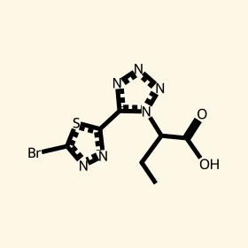 CCC(C(=O)O)n1nnnc1-c1nnc(Br)s1